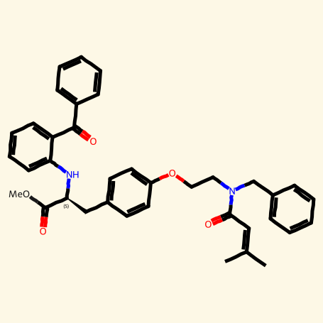 COC(=O)[C@H](Cc1ccc(OCCN(Cc2ccccc2)C(=O)C=C(C)C)cc1)Nc1ccccc1C(=O)c1ccccc1